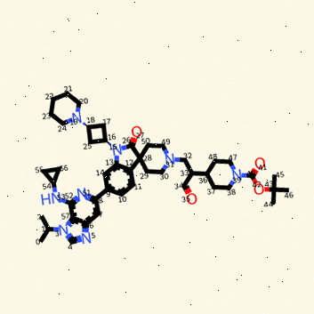 CC(C)n1cnc2cc(-c3ccc4c(c3)N([C@H]3C[C@@H](N5CCCCC5)C3)C(=O)C43CCN(CC(C=O)C4CCN(C(=O)OC(C)(C)C)CC4)CC3)nc(NC3CC3)c21